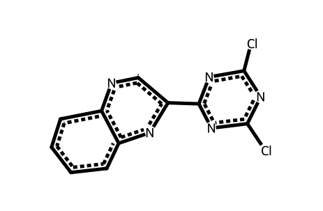 Clc1nc(Cl)nc(-c2[c]nc3ccccc3n2)n1